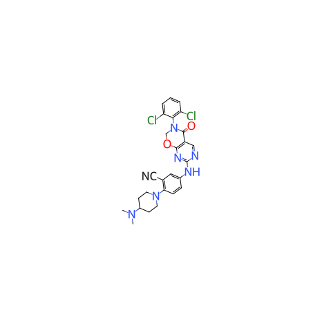 CN(C)C1CCN(c2ccc(Nc3ncc4c(n3)OCN(c3c(Cl)cccc3Cl)C4=O)cc2C#N)CC1